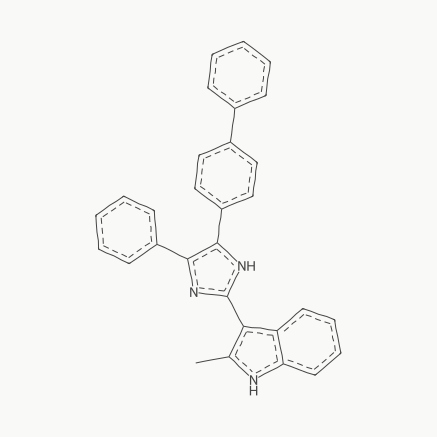 Cc1[nH]c2ccccc2c1-c1nc(-c2ccccc2)c(-c2ccc(-c3ccccc3)cc2)[nH]1